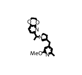 COc1cc(CC2=CN(C(C)c3ccc4c(n3)OCCO4)CC2)cc(C)n1